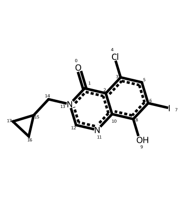 O=c1c2c(Cl)cc(I)c(O)c2ncn1CC1CC1